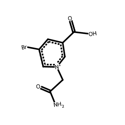 NC(=O)C[n+]1cc(Br)cc(C(=O)O)c1